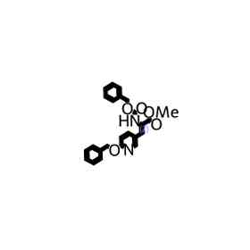 COC(=O)/C(=C/c1ccc(OCc2ccccc2)nc1)NC(=O)OCc1ccccc1